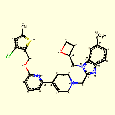 N#Cc1cc(Cl)c(COc2cccc(C3=CCN(Cc4nc5ccc(C(=O)O)cc5n4C[C@@H]4CCO4)CC3)n2)s1